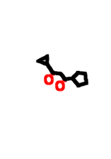 O=C(CC(=O)C1CC1)C1CCCC1